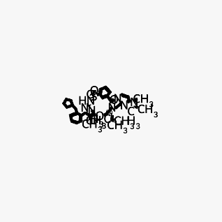 Cc1cccc(CC2CCCC2)c1-c1nc2nc(c1C)OC[C@@H](CC(C)(C)C)N(Cc1nccc(N(C)C(C)C)n1)C(=O)c1cccc(c1)S(=O)(=O)N2